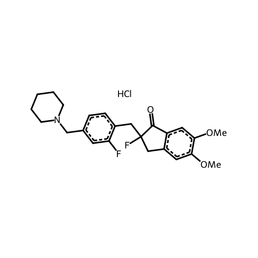 COc1cc2c(cc1OC)C(=O)C(F)(Cc1ccc(CN3CCCCC3)cc1F)C2.Cl